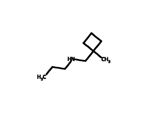 CCCNCC1(C)CCC1